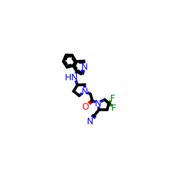 N#CC1CC(F)(F)CN1C(=O)CN1CCC(Nc2cncc3ccccc23)C1